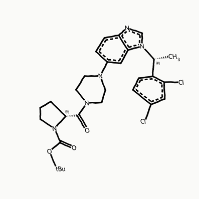 C[C@H](c1ccc(Cl)cc1Cl)n1cnc2ccc(N3CCN(C(=O)[C@H]4CCCN4C(=O)OC(C)(C)C)CC3)cc21